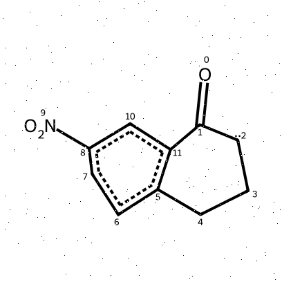 O=C1[C]CCc2ccc([N+](=O)[O-])cc21